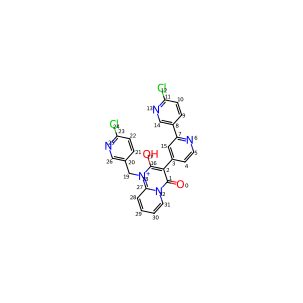 O=c1c(-c2ccnc(-c3ccc(Cl)nc3)c2)c(O)[n+](Cc2ccc(Cl)nc2)c2ccccn12